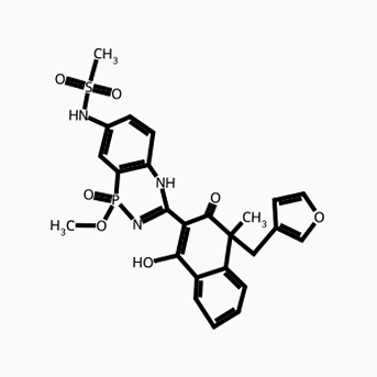 COP1(=O)N=C(C2=C(O)c3ccccc3C(C)(Cc3ccoc3)C2=O)Nc2ccc(NS(C)(=O)=O)cc21